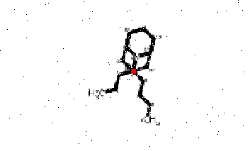 CCCCC(CCC)N1C2CCCC1CCC2